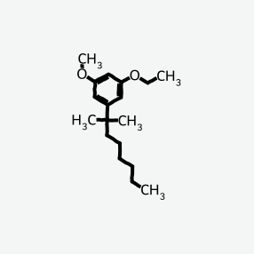 CCCCCCC(C)(C)c1cc(OC)cc(OCC)c1